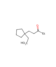 CCC(=O)CCC1(CC(=O)O)CCCC1